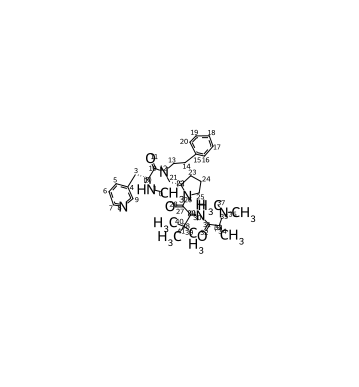 CN[C@H](Cc1cccnc1)C(=O)N(CCc1ccccc1)C[C@@H]1CCCN1C(=O)[C@@H](NC(=O)[C@H](C)N(C)C)C(C)(C)C